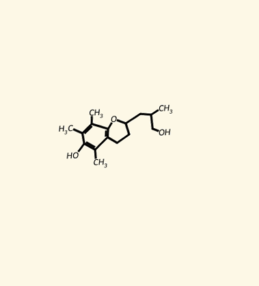 Cc1c(C)c2c(c(C)c1O)CCC(CC(C)CO)O2